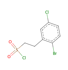 O=S(=O)(Cl)CCc1cc(Cl)ccc1Br